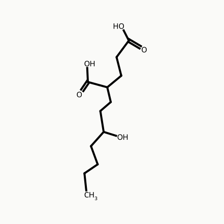 CCCCC(O)CCC(CCC(=O)O)C(=O)O